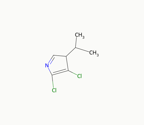 CC(C)C1C=NC(Cl)=C1Cl